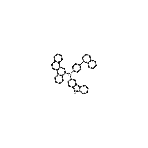 c1ccc2c(-c3ccc(N(c4ccc5sc6ccccc6c5c4)c4cc5c6ccccc6ccc5c5ccccc45)cc3)cccc2c1